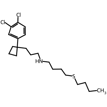 CCCCSCCCCNCCCC1(c2ccc(Cl)c(Cl)c2)CCC1